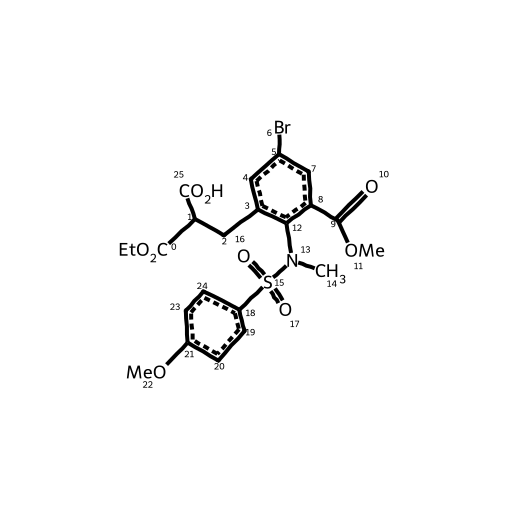 CCOC(=O)C(Cc1cc(Br)cc(C(=O)OC)c1N(C)S(=O)(=O)c1ccc(OC)cc1)C(=O)O